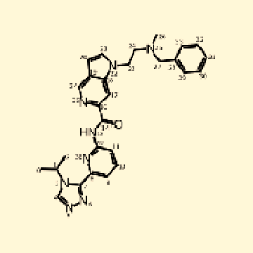 CC(C)n1cnnc1-c1cccc(NC(=O)c2cc3c(ccn3CCN(C)Cc3ccccc3)cn2)n1